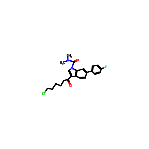 CN(C)C(=O)n1cc(C(=O)CCCCCCl)c2ccc(-c3ccc(F)cc3)cc21